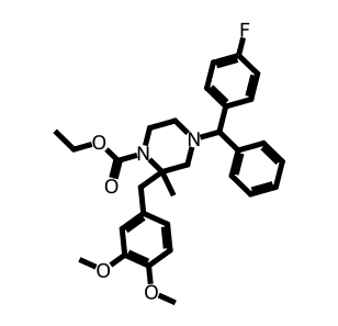 CCOC(=O)N1CCN(C(c2ccccc2)c2ccc(F)cc2)CC1(C)Cc1ccc(OC)c(OC)c1